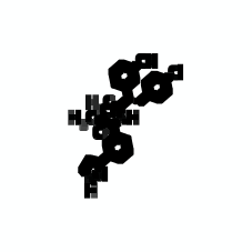 C[C@H](NC(c1cccc(-c2cc[nH]n2)c1)C(C)(C)C#N)[C@@H](Cc1ccc(Cl)cc1)c1cccc(C#N)c1